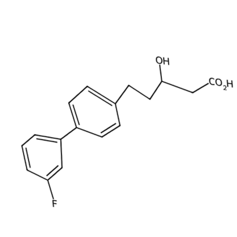 O=C(O)CC(O)CCc1ccc(-c2cccc(F)c2)cc1